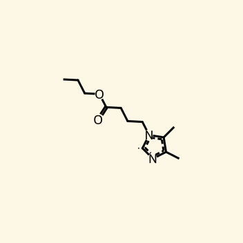 CCCOC(=O)CCCn1[c]nc(C)c1C